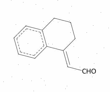 O=CC=C1CCCc2ccccc21